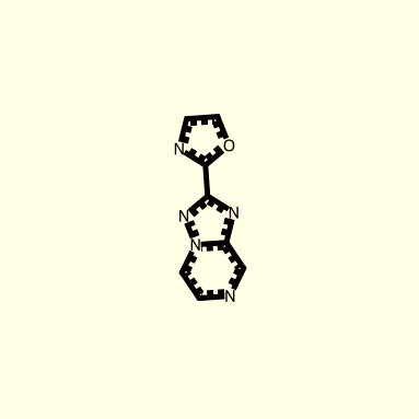 c1cn2nc(-c3ncco3)nc2cn1